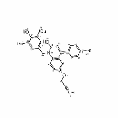 C#CCOc1ccc2c(c1)C(c1ccc(C(C)C)cc1)=NC(O)N2Cc1cc(C(C)(C)C)c(O)c(C(C)(C)C)c1